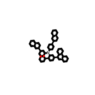 c1ccc(-c2ccc(-c3cc4ccccc4c4ccccc34)cc2N(c2ccc(-c3ccc4ccccc4c3)cc2)c2cccc(-c3ccc4ccccc4c3)c2)cc1